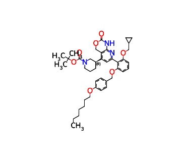 CCCCCCCOc1ccc(COc2cccc(OCC3CC3)c2-c2cc([C@H]3CCCN(C(=O)OC(C)(C)C)C3)c3c(n2)NC(=O)OC3)cc1